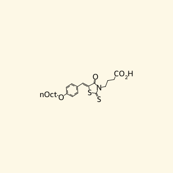 CCCCCCCCOc1ccc(/C=C2\SC(=S)N(CCCC(=O)O)C2=O)cc1